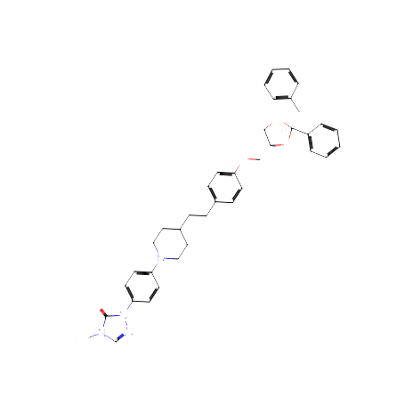 CCC(C)n1cnn(-c2ccc(N3CCC(CCc4ccc(OC[C@@H]5CO[C@@](Cc6ccccc6)(c6ccccc6)O5)cc4)CC3)cc2)c1=O